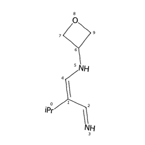 CC(C)/C(C=N)=C/NC1COC1